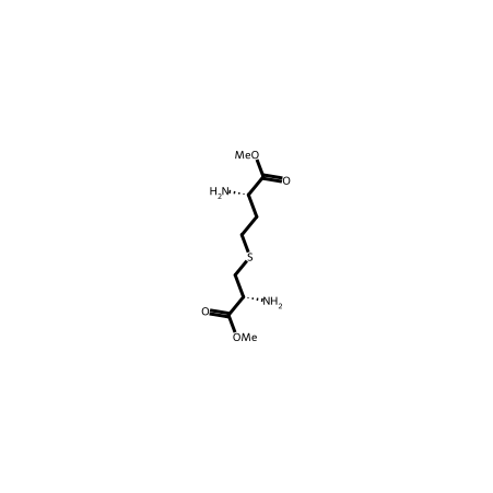 COC(=O)[C@@H](N)CCSC[C@H](N)C(=O)OC